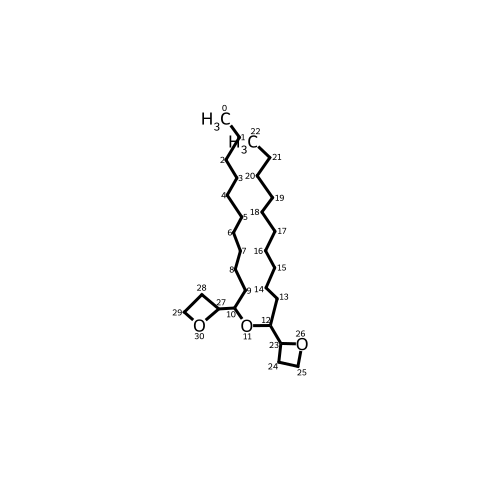 CCCCCCCCCCC(OC(CCCCCCCCCC)C1CCO1)C1CCO1